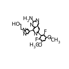 COc1cc(OC)c(F)c(-c2cc3cnc(N)nc3c(-c3cnn(CCO)c3)n2)c1F